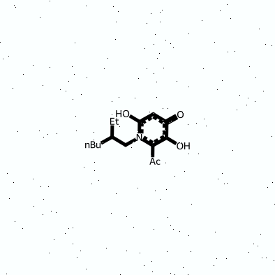 CCCCC(CC)Cn1c(O)cc(=O)c(O)c1C(C)=O